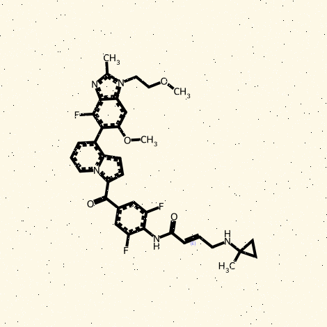 COCCn1c(C)nc2c(F)c(-c3cccn4c(C(=O)c5cc(F)c(NC(=O)/C=C/CNC6(C)CC6)c(F)c5)ccc34)c(OC)cc21